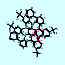 CC(C)(C)c1ccc(N(c2ccc(C(C)(C)C)cc2)c2cc3c4c(c2)N(c2c(-c5ccccc5)cccc2-c2ccccc2)c2ccc(C(C)(C)C)cc2B4c2cc(C(C)(C)C)ccc2N3c2c(-c3ccccc3)cccc2-c2ccccc2)cc1